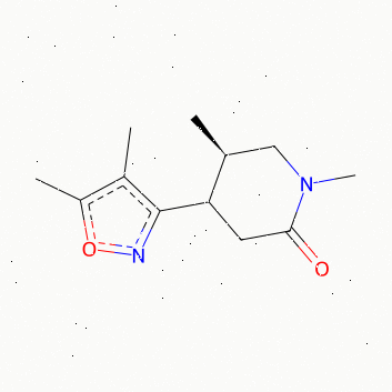 Cc1onc(C2CC(=O)N(C)C[C@@H]2C)c1C